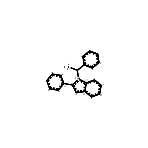 CC(c1ccccc1)n1c(-c2ccccc2)cc2ccccc21